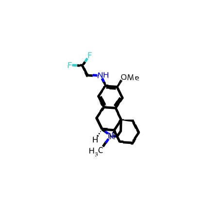 COc1cc2c(cc1NCC(F)F)C[C@H]1[C@@H]3CCCC[C@]23CCN1C